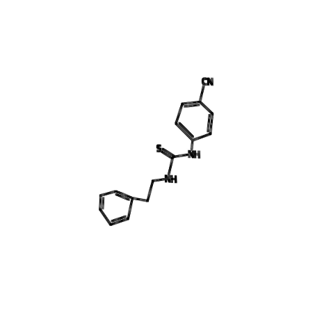 N#Cc1ccc(NC(=S)NCCc2ccccc2)cc1